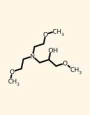 COCCN(CCOC)CC(O)COC